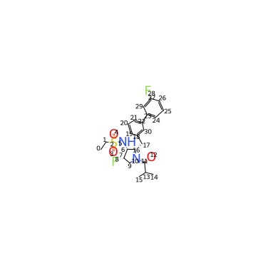 CCS(=O)(=O)N[C@H]1[C@@H](F)CN(C(=O)C(C)C)[C@H]1Cc1cccc(-c2cccc(F)c2)c1